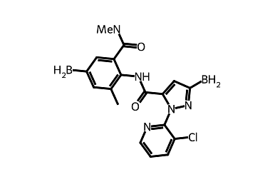 Bc1cc(C)c(NC(=O)c2cc(B)nn2-c2ncccc2Cl)c(C(=O)NC)c1